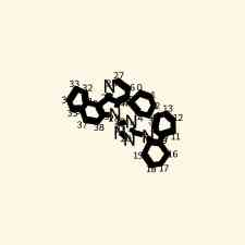 C1=CCCC(n2c(-n3c4c(c5ccccc53)CCC=C4)nnc2-n2c3cccnc3c3c4ccccc4ccc32)=C1